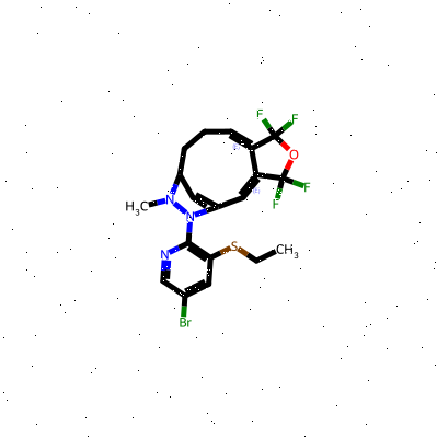 CCSc1cc(Br)cnc1N1C2=CC(CC/C=C3\C(=C/2)C(F)(F)OC3(F)F)N1C